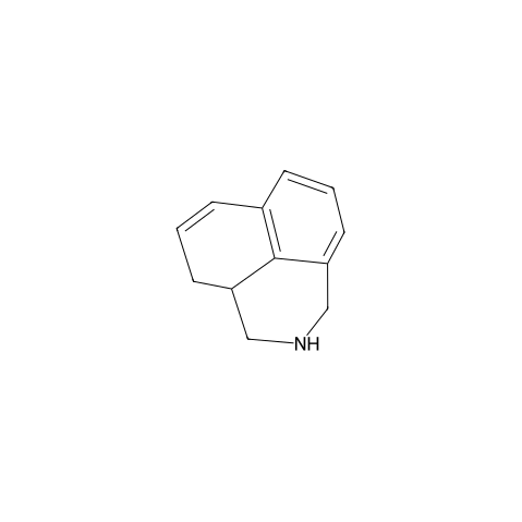 C1=Cc2cccc3c2C(C1)CNC3